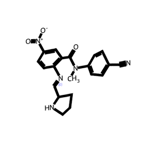 CN(C(=O)c1cc([N+](=O)[O-])ccc1/N=C/C1CCCN1)c1ccc(C#N)cc1